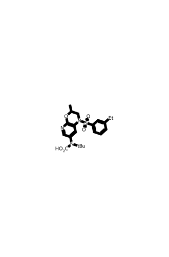 CCc1cccc(S(=O)(=O)N2CC(C)Oc3ncc(N(C(=O)O)C(C)(C)C)cc32)c1